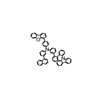 c1cc(-c2ccccc2-c2ccccc2-n2c3ccccc3c3ccccc32)cc(N(c2ccc(-c3cccc4c3oc3ccccc34)cc2)c2cccc(-c3cccc4ccccc34)c2)c1